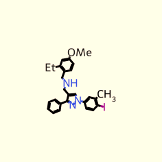 CCc1cc(OC)ccc1CNCc1cn(-c2ccc(I)c(C)c2)nc1-c1ccccc1